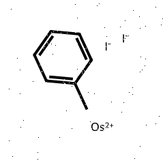 Cc1ccccc1.[I-].[I-].[Os+2]